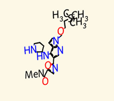 CNC(=O)c1cnc(-c2cnc3c(ccn3COCC[Si](C)(C)C)c2N[C@@H]2CCCNC2)o1